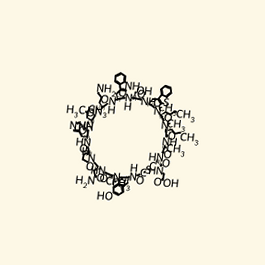 CCCC[C@H]1C(=O)N(C)[C@@H](CCCC)C(=O)N[C@@H](C)C(=O)N[C@H](C(=O)NCC(=O)O)CSCC(=O)N[C@@H](Cc2ccc(O)cc2)C(=O)N(C)[C@@H](C)C(=O)N[C@@H](CC(N)=O)C(=O)N2CCC[C@H]2C(=O)N[C@@H](Cc2cnc[nH]2)C(=O)N[C@@H](CC(C)C)C(=O)N[C@@H](CCCN)C(=O)N[C@@H](Cc2c[nH]c3ccccc23)C(=O)N[C@@H](CO)C(=O)N[C@@H](Cc2csc3ccccc23)C(=O)N1C